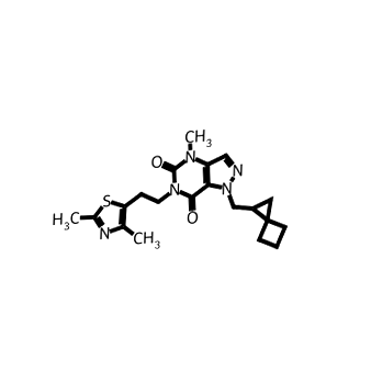 Cc1nc(C)c(CCn2c(=O)c3c(cnn3CC3CC34CCC4)n(C)c2=O)s1